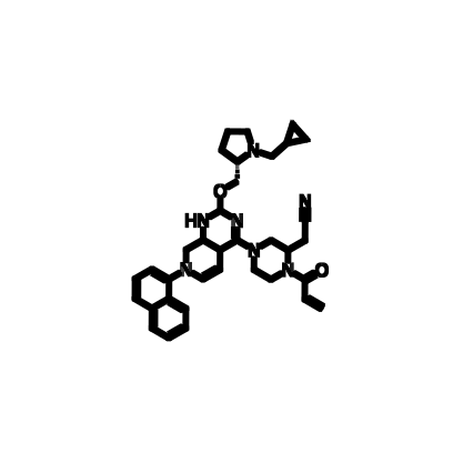 C=CC(=O)N1CCN(C2=NC(OC[C@@H]3CCCN3CC3CC3)NC3CN(c4cccc5ccccc45)C=CC23)CC1CC#N